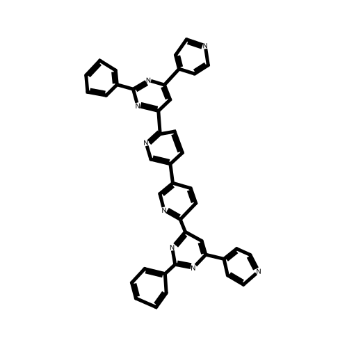 c1ccc(-c2nc(-c3ccncc3)cc(-c3ccc(-c4ccc(-c5cc(-c6ccncc6)nc(-c6ccccc6)n5)nc4)cn3)n2)cc1